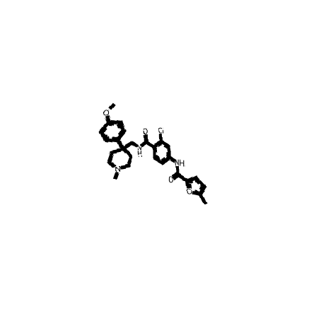 COc1ccc(C2(CNC(=O)c3ccc(NC(=O)c4ccc(C)o4)cc3Cl)CCN(C)CC2)cc1